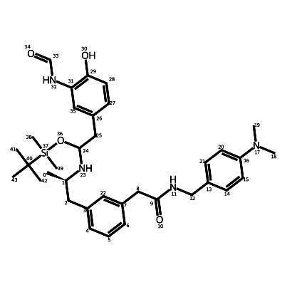 C[C@H](Cc1cccc(CC(=O)NCc2ccc(N(C)C)cc2)c1)NC(Cc1ccc(O)c(NC=O)c1)O[Si](C)(C)C(C)(C)C